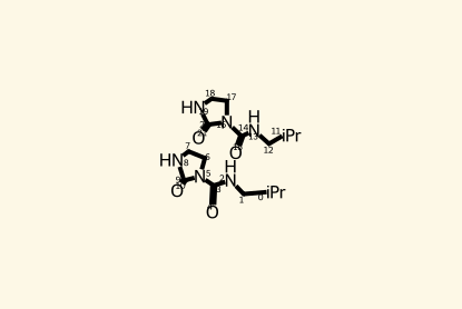 CC(C)CNC(=O)N1CCNC1=O.CC(C)CNC(=O)N1CCNC1=O